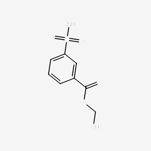 CCOC(=O)c1cccc(S(N)(=O)=O)c1